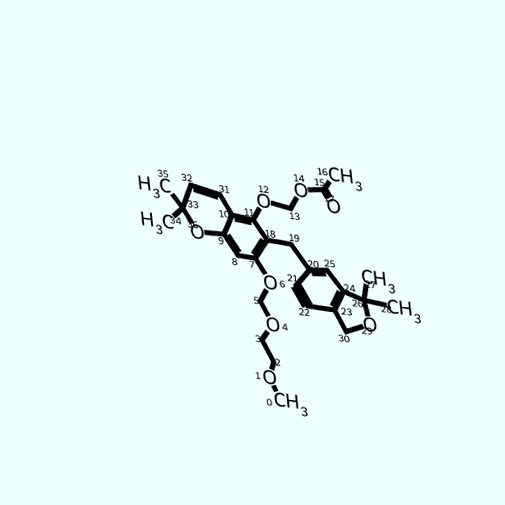 COCCOCOc1cc2c(c(OCOC(C)=O)c1Cc1c#cc3c(c1)C(C)(C)OC3)C=CC(C)(C)O2